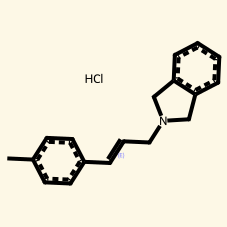 Cc1ccc(/C=C/CN2Cc3ccccc3C2)cc1.Cl